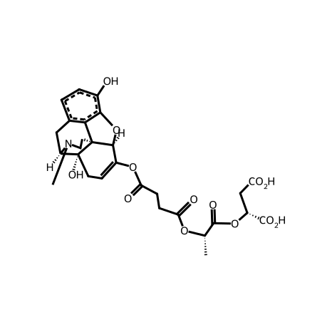 C[C@H](OC(=O)CCC(=O)OC1=CC[C@@]2(O)[C@H]3Cc4ccc(O)c5c4[C@@]2(CCN3C)[C@H]1O5)C(=O)O[C@H](CC(=O)O)C(=O)O